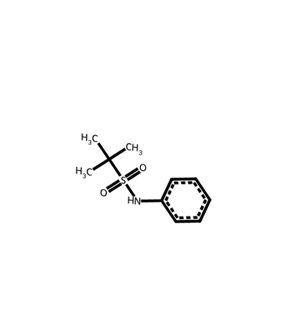 CC(C)(C)S(=O)(=O)Nc1ccccc1